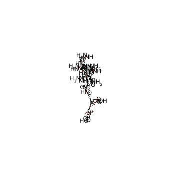 CC[N+]1=C(/C=C/C=C/C=C2/N(CCCCCC(=O)NCCN3C(=O)CC(SC[C@@H](NC(=O)[C@@H](CCCNC(=N)N)NC(=O)[C@@H](CCCNC(=N)N)NC(=O)[C@@H](CCCNC(=N)N)NC(=O)[C@@H](CCCNC(=N)N)NC(=O)[C@@H](CCCNC(=N)N)NC(C)=O)C(N)=O)C3=O)c3ccc(S(=O)(=O)O)cc3C2(C)C)C(C)(C)c2cc(S(=O)(=O)O)ccc21